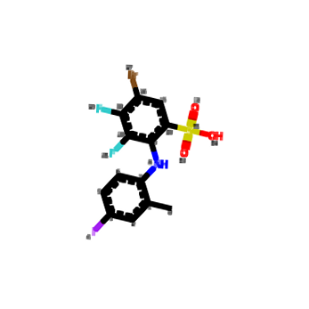 Cc1cc(I)ccc1Nc1c(S(=O)(=O)O)cc(Br)c(F)c1F